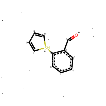 O=Cc1ccccc1[SH]1C=CC=C1